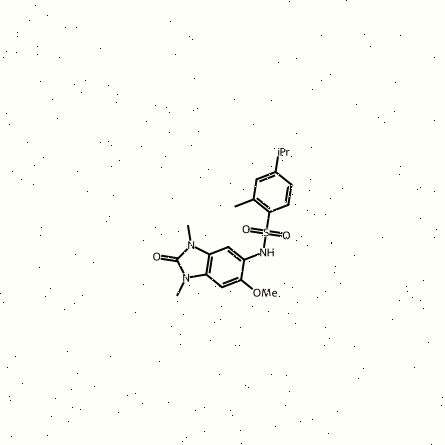 COc1cc2c(cc1NS(=O)(=O)c1ccc(C(C)C)cc1C)n(C)c(=O)n2C